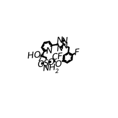 C[C@](O)(CS(N)(=O)=O)c1cccc(-c2nnn(Cc3cc(OCC(F)(F)F)ccc3F)n2)n1